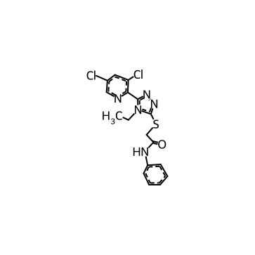 CCn1c(SCC(=O)Nc2ccccc2)nnc1-c1ncc(Cl)cc1Cl